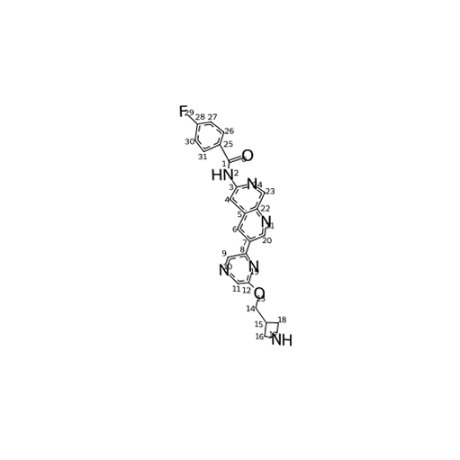 O=C(Nc1cc2cc(-c3cncc(OCC4CNC4)n3)cnc2cn1)c1ccc(F)cc1